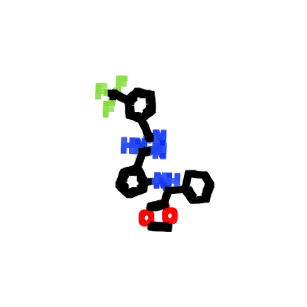 FC(F)(F)c1cccc(-c2nnc(-c3ccccc3NC(C3=CC=CCC3)C3=COC=CO3)[nH]2)c1